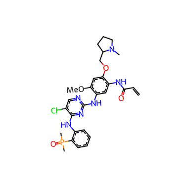 C=CC(=O)Nc1cc(Nc2ncc(Cl)c(Nc3ccccc3P(C)(C)=O)n2)c(OC)cc1OCC1CCCN1C